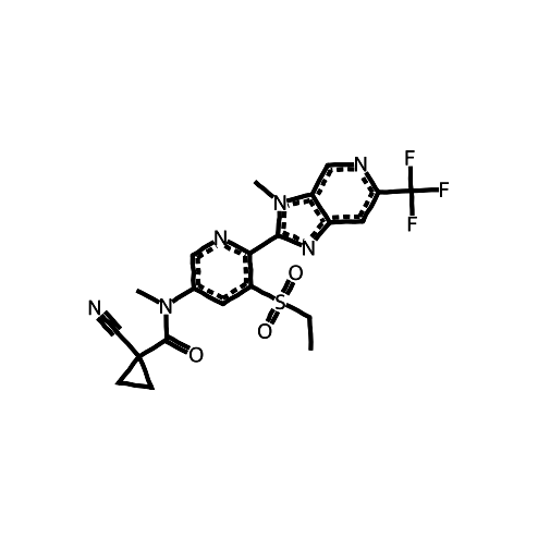 CCS(=O)(=O)c1cc(N(C)C(=O)C2(C#N)CC2)cnc1-c1nc2cc(C(F)(F)F)ncc2n1C